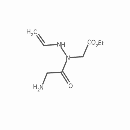 C=CNN(CC(=O)OCC)C(=O)CN